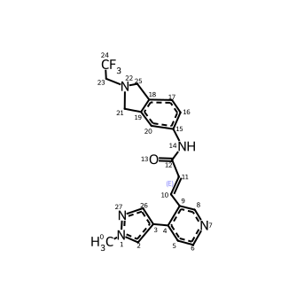 Cn1cc(-c2ccncc2/C=C/C(=O)Nc2ccc3c(c2)CN(CC(F)(F)F)C3)cn1